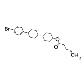 C=CCCC(=O)OC1CCC([C@H]2CC[C@H](c3ccc(Br)cc3)CC2)CC1